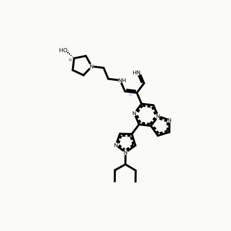 CCC(CC)n1cc(-c2nc(/C(C=N)=C/NCCN3CC[C@H](O)C3)cn3nccc23)cn1